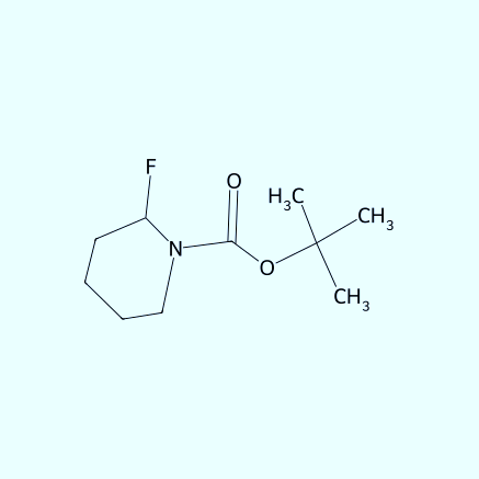 CC(C)(C)OC(=O)N1CCCCC1F